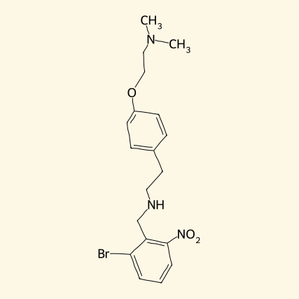 CN(C)CCOc1ccc(CCNCc2c(Br)cccc2[N+](=O)[O-])cc1